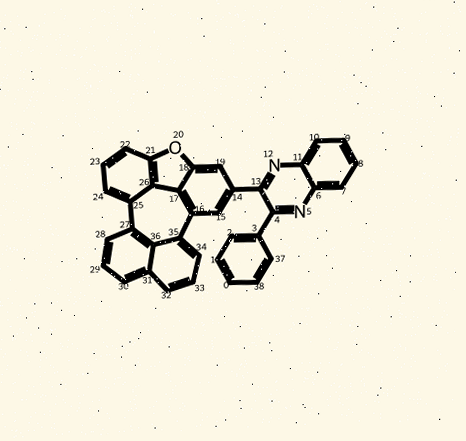 c1ccc(-c2nc3ccccc3nc2-c2cc3c4c(c2)oc2cccc(c24)-c2cccc4cccc-3c24)cc1